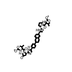 COC(=O)NC(C(=O)N1CCC[C@H]1c1ncc(-c2ccc3cc(-c4ccc(-c5cnc([C@@H]6CC(=O)CN6C(=O)[C@@H](NC(=O)OC)C(C)C)[nH]5)cc4)ccc3c2)[nH]1)C(C)C